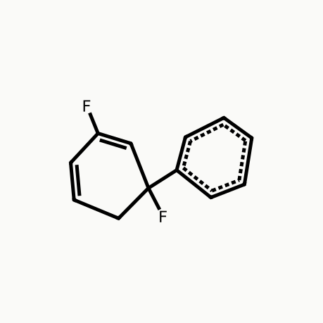 FC1=CC(F)(c2ccccc2)CC=C1